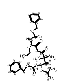 CCC[C@H](NC(=O)OCc1ccccc1)C(=O)CC(=O)C(N)(N)C(=O)[C@H](CC(C)C)NC(=O)OCc1ccccc1